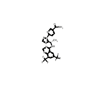 C[C@H](Nc1ncnc2c(C(F)(F)F)cc(C(F)(F)F)cc12)c1ncnn1-c1ccc(C(N)=O)cn1